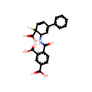 O=C(O)c1ccc(C(=O)NC2C=C(c3ccccc3)C=CC2(F)C(=O)O)c(C(=O)O)c1